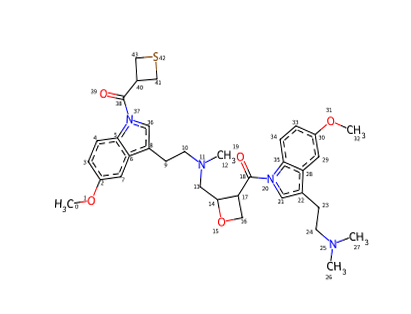 COc1ccc2c(c1)c(CCN(C)CC1OCC1C(=O)n1cc(CCN(C)C)c3cc(OC)ccc31)cn2C(=O)C1CSC1